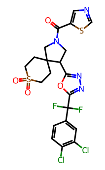 O=C(c1cncs1)N1CC(c2nnc(C(F)(F)c3ccc(Cl)c(Cl)c3)o2)C2(CCS(=O)(=O)CC2)C1